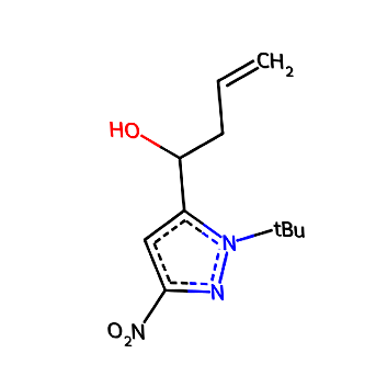 C=CCC(O)c1cc([N+](=O)[O-])nn1C(C)(C)C